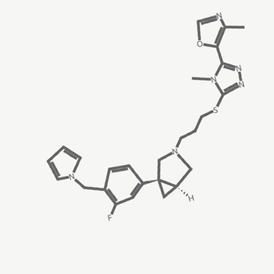 Cc1ncoc1-c1nnc(SCCCN2C[C@H]3C[C@]3(c3ccc(Cn4cccc4)c(F)c3)C2)n1C